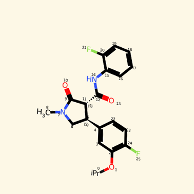 CC(C)Oc1cc([C@H]2CN(C)C(=O)[C@@H]2C(=O)Nc2ccccc2F)ccc1F